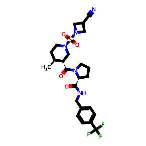 C[C@H]1CCN(S(=O)(=O)N2CC(C#N)C2)C[C@@H]1C(=O)N1CCC[C@@H]1C(=O)NCc1ccc(C(F)(F)F)cc1